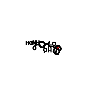 COc1cc(C(=O)NO)ccc1C(C)NC(=O)C12CC3CC(CC(C3)C1)C2